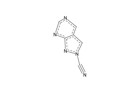 N#Cn1cc2cncnc2n1